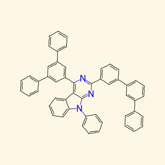 c1ccc(-c2cccc(-c3cccc(-c4nc(-c5cc(-c6ccccc6)cc(-c6ccccc6)c5)c5c6ccccc6n(-c6ccccc6)c5n4)c3)c2)cc1